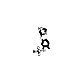 CCS(=O)(=O)Nc1cc(Cc2c[nH]cn2)ccc1C